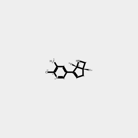 Cc1cc(C2=CC[C@H]3CN[C@@H]23)cnc1Cl